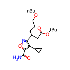 CCCCOCCC[C@@H](CC(=O)OC(C)(C)C)c1noc(C(N)=O)c1C1CC1